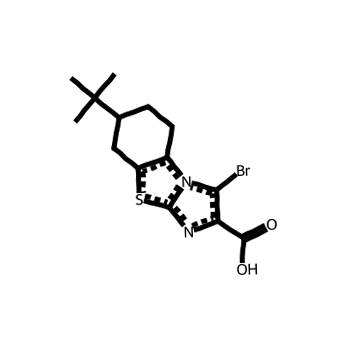 CC(C)(C)C1CCc2c(sc3nc(C(=O)O)c(Br)n23)C1